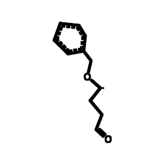 O=CCC[CH]OCc1ccccc1